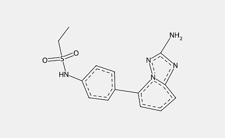 CCS(=O)(=O)Nc1ccc(-c2cccc3nc(N)nn23)cc1